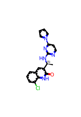 C[C@H](Nc1nccc(-n2cccc2)n1)c1cc2cccc(Cl)c2[nH]c1=O